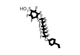 C=Cc1ccc(OC(F)(F)C(F)(F)C(F)(F)C(F)(F)C(F)(F)C(F)(F)Sc2c(F)c(F)c(S(=O)(=O)O)c(F)c2F)cc1